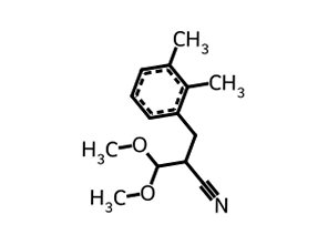 COC(OC)C(C#N)Cc1cccc(C)c1C